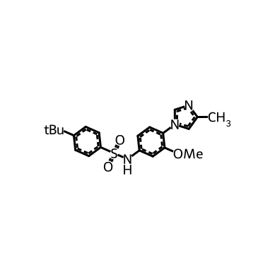 COc1cc(NS(=O)(=O)c2ccc(C(C)(C)C)cc2)ccc1-n1cnc(C)c1